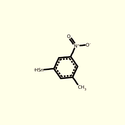 Cc1c[c]([SnH])cc([N+](=O)[O-])c1